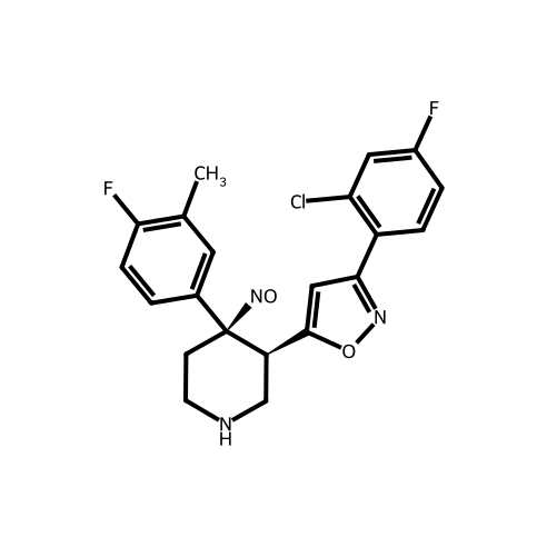 Cc1cc([C@@]2(N=O)CCNC[C@@H]2c2cc(-c3ccc(F)cc3Cl)no2)ccc1F